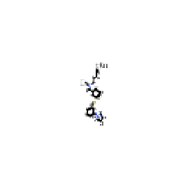 CCN(CC=CC#CC(C)(C)C)Cc1cccc(SCc2cccc(-n3cccc3)c2)c1